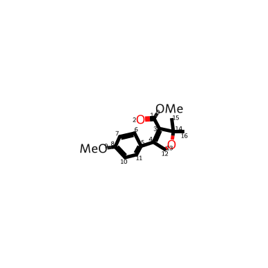 COC(=O)C1=C(c2ccc(OC)cc2)COC1(C)C